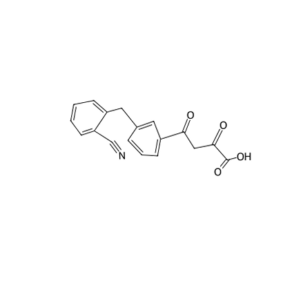 N#Cc1ccccc1Cc1cccc(C(=O)CC(=O)C(=O)O)c1